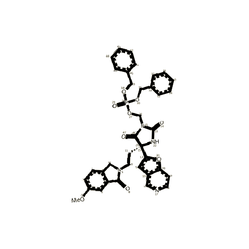 COc1ccc2c(c1)C(=O)N(CC[C@@]1(c3cc4cnccc4o3)NC(=O)N(COP(=O)(OCc3ccccc3)OCc3ccccc3)C1=O)C2